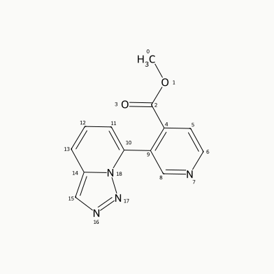 COC(=O)c1ccncc1-c1cccc2cnnn12